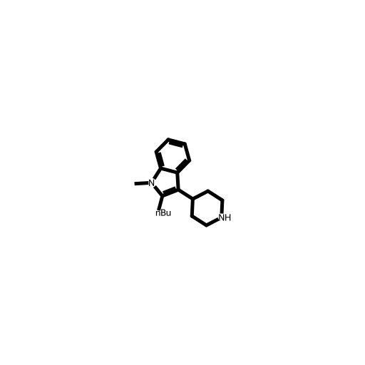 CCCCc1c(C2CCNCC2)c2ccccc2n1C